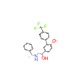 COc1ccc([C@@H](O)CN[C@H](C)c2ccccc2)cc1-c1ccc(C(F)(F)F)cc1